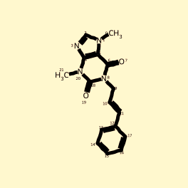 Cn1cnc2c1c(=O)n(CC=Cc1ccccc1)c(=O)n2C